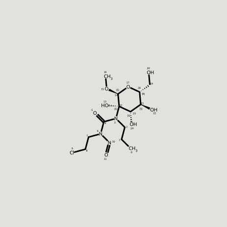 CCCN(C(=O)N(CCCl)N=O)[C@@]1(O)[C@@H](OC)O[C@H](CO)[C@@H](O)[C@@H]1O